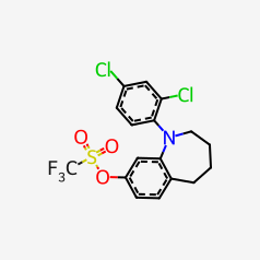 O=S(=O)(Oc1ccc2c(c1)N(c1ccc(Cl)cc1Cl)CCCC2)C(F)(F)F